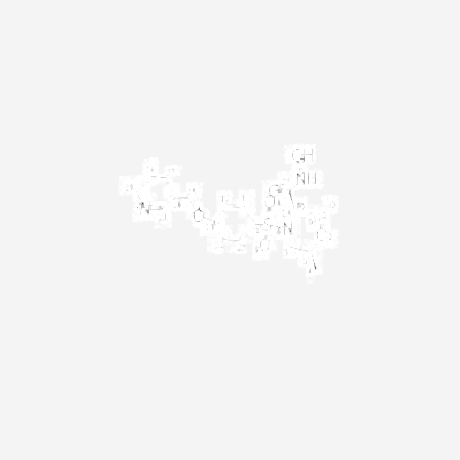 C[C@@H]1O[C@@H](C)CN(S(=O)(=O)c2ccc(OCc3cccnc3)cc2)[C@H]1C(=O)NO